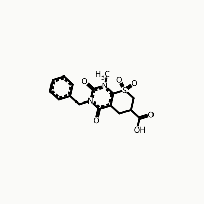 Cn1c2c(c(=O)n(Cc3ccccc3)c1=O)CC(C(=O)O)CS2(=O)=O